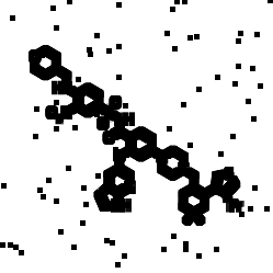 CC(C)c1cscc1C1=C(CN2CCN(c3ccc(C(=O)NS(=O)(=O)c4ccc(NCC5CCOCC5)c([N+](=O)[O-])c4)c(Oc4cnc5[nH]ccc5c4)c3)CC2)CCC(C)(C)C1